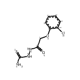 NC(=S)NNC(=O)COc1ccccc1Cl